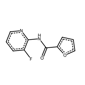 O=C(Nc1ncccc1F)c1ccco1